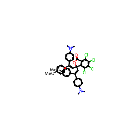 COc1ccc(C(=CC2(C=C(c3ccc(OC)cc3)c3ccc(N(C)C)cc3)OC(=O)c3c(Cl)c(Cl)c(Cl)c(Cl)c32)c2ccc(N(C)C)cc2)cc1